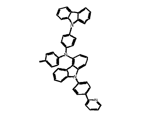 Cc1ccc(N(c2ccc(-n3c4ccccc4c4ccccc43)cc2)c2cccc3c2c2ccccc2n3-c2ccc(-c3ccccn3)cc2)cc1